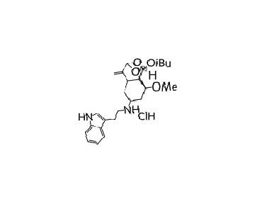 C=C1C2O[C@@H](OCC(C)C)C3C1CC(NCCc1c[nH]c4ccccc14)CC3(OC)O2.Cl